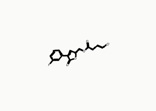 O=C(CCCCl)OCC1C=C(c2cccc(F)c2)C(=O)O1